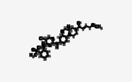 COC/C=C/C(=O)N1CCN2c3ccc(Nc4ncc(Cl)c(Nc5ccccc5P(C)(C)=O)n4)cc3OC[C@@H]2C1